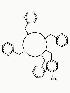 Nc1ccc(CC2CN(Cc3ccccn3)CCN(Cc3ccccn3)CCN(Cc3ccccn3)CCN2Cc2ccccn2)cc1